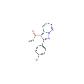 COC(=O)c1c(-c2ccc(Br)cc2)nn2ncccc12